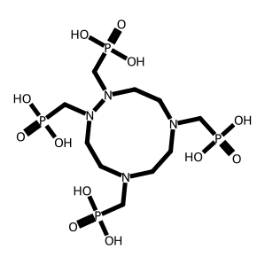 O=P(O)(O)CN1CCN(CP(=O)(O)O)CCN(CP(=O)(O)O)N(CP(=O)(O)O)CC1